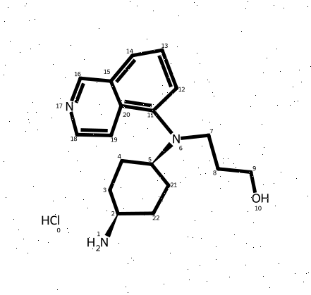 Cl.N[C@H]1CC[C@@H](N(CCCO)c2cccc3cnccc23)CC1